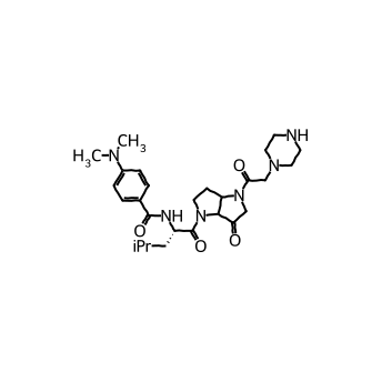 CC(C)C[C@H](NC(=O)c1ccc(N(C)C)cc1)C(=O)N1CCC2C1C(=O)CN2C(=O)CN1CCNCC1